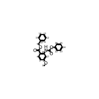 COc1ccc(C(=O)OCc2ccccc2)c(NC(=O)Oc2ccccc2)c1